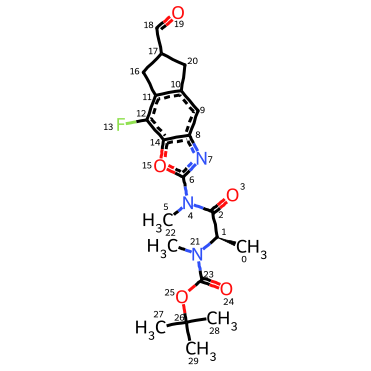 C[C@H](C(=O)N(C)c1nc2cc3c(c(F)c2o1)CC(C=O)C3)N(C)C(=O)OC(C)(C)C